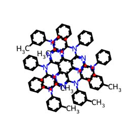 Cc1cccc(N(c2ccccc2)c2nc(N(c3ccccc3)c3cccc(C)c3)c3c(n2)c2c(N(c4ccccc4)c4cccc(C)c4)nc(N(c4ccccc4)c4cccc(C)c4)nc2c2c(N(c4ccccc4)c4cccc(C)c4)nc(N(c4ccccc4)c4cccc(C)c4)nc32)c1